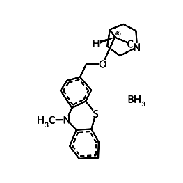 B.CN1c2ccccc2Sc2cc(CO[C@H]3CN4CCC3CC4)ccc21